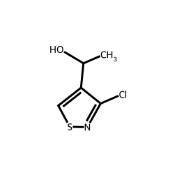 CC(O)c1csnc1Cl